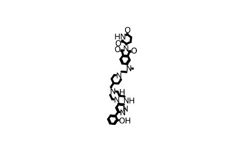 CN(CCN1CCC(CN2CCN3c4cc(-c5ccccc5O)nnc4NC[C@H]3C2)CC1)c1ccc2c(c1)C(=O)N(C1CCC(=O)NC1=O)C2=O